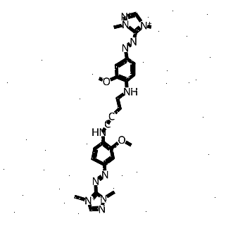 COc1cc(N=Nc2n(C)nc[n+]2C)ccc1NCCCCNc1ccc(N=Nc2n(C)nc[n+]2C)cc1OC